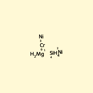 [Cr].[MgH2].[Ni].[Ni].[SiH4]